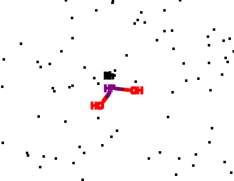 OPO.[Rh]